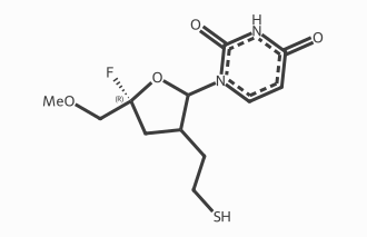 COC[C@]1(F)CC(CCS)C(n2ccc(=O)[nH]c2=O)O1